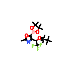 Cc1nc(C(O[Si](C)(C)C(C)(C)C)C(F)(F)F)c(B2OC(C)(C)C(C)(C)O2)o1